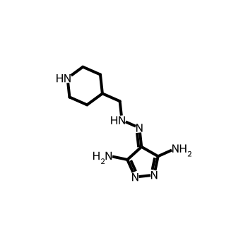 NC1=NN=C(N)C1=NNCC1CCNCC1